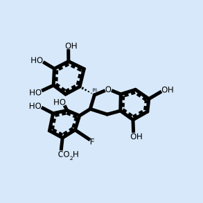 O=C(O)c1cc(O)c(O)c(C2Cc3c(O)cc(O)cc3O[C@H]2c2cc(O)c(O)c(O)c2)c1F